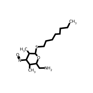 CCCCCCCCSC1OC(CN)C(C)C(N=O)C1C